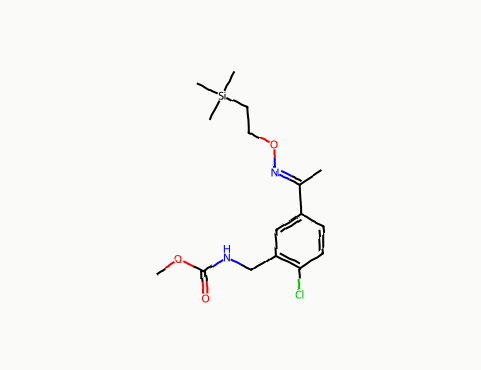 COC(=O)NCc1cc(C(C)=NOCC[Si](C)(C)C)ccc1Cl